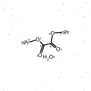 CCCOC(=O)C(=O)OCCC.O